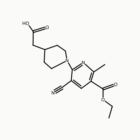 CCOC(=O)c1cc(C#N)c(N2CCC(CC(=O)O)CC2)nc1C